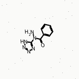 NN(C(=O)c1ccccc1)c1nnn[nH]1